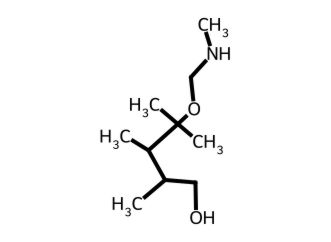 CNCOC(C)(C)C(C)C(C)CO